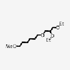 CCOCC(COCCCCCCOC)OCC